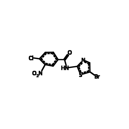 O=C(Nc1ncc(Br)s1)c1ccc(Cl)c([N+](=O)[O-])c1